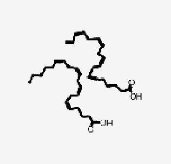 CC/C=C\C/C=C\C/C=C\C/C=C\CCCCC(=O)O.CCCCC/C=C\C/C=C\C/C=C\C/C=C\CCCC(=O)O